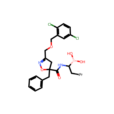 CC(C)CC(NC(=O)C1(Cc2ccccc2)CC(COCc2cc(Cl)ccc2Cl)=NO1)B(O)O